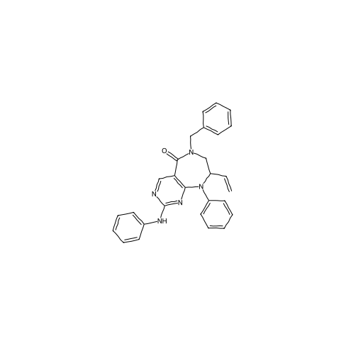 C=CC1CN(Cc2ccccc2)C(=O)c2cnc(Nc3ccccc3)nc2N1c1ccccc1